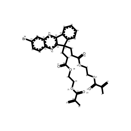 C=C(C)C(=O)OCCOC(=O)CCC1(CCC(=O)OCCOC(=O)C(=C)C)c2ccccc2-c2nc3cc(Br)ccc3nc21